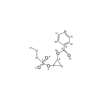 CCCS(=O)(=O)OC1CC1OC(=O)c1ccccc1